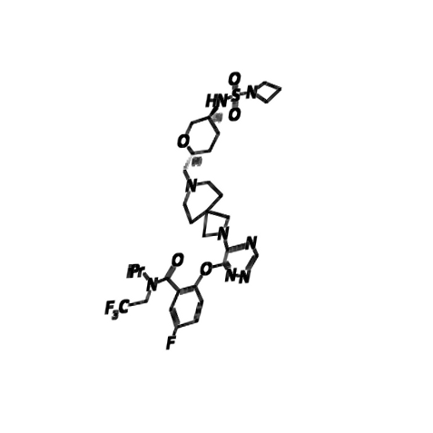 CC(C)N(CC(F)(F)F)C(=O)c1cc(F)ccc1Oc1nncnc1N1CC2(CCN(C[C@H]3CC[C@H](NS(=O)(=O)N4CCC4)CO3)CC2)C1